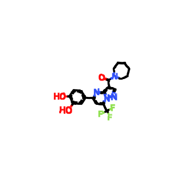 O=C(c1cnn2c(C(F)(F)F)cc(-c3ccc(O)c(O)c3)nc12)N1CCCCCC1